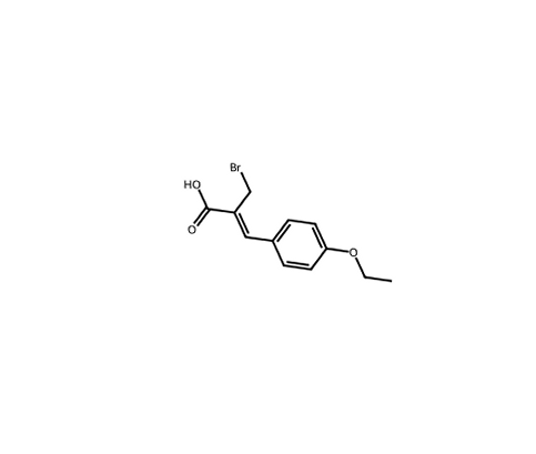 CCOc1ccc(C=C(CBr)C(=O)O)cc1